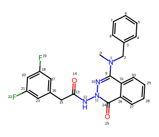 CN(Cc1ccccc1)c1nn(NC(=O)Cc2cc(F)cc(F)c2)c(=O)c2ccccc12